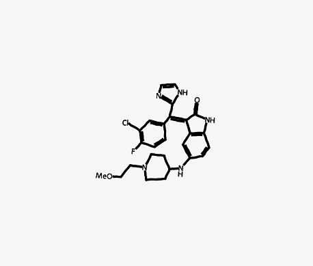 COCCN1CCC(Nc2ccc3c(c2)/C(=C(\c2ccc(F)c(Cl)c2)c2ncc[nH]2)C(=O)N3)CC1